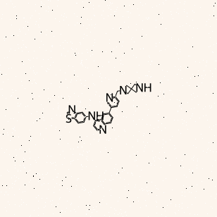 c1cc(Nc2ccc3scnc3c2)c2cc(-c3ccc(CN4CC5(CNC5)C4)nc3)ccc2n1